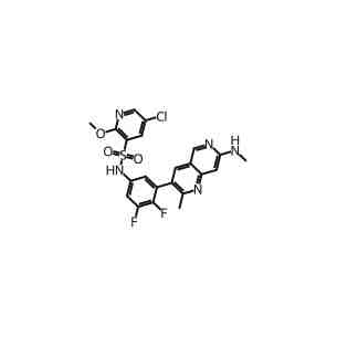 CNc1cc2nc(C)c(-c3cc(NS(=O)(=O)c4cc(Cl)cnc4OC)cc(F)c3F)cc2cn1